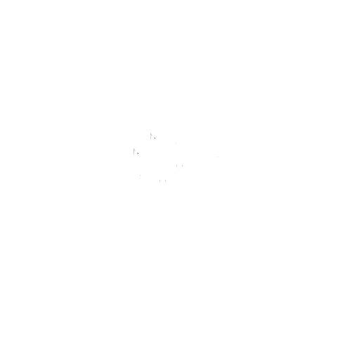 Cc1cccc(C(=O)NN(C(=O)c2cccc(F)c2F)C(C)(C)C)c1C